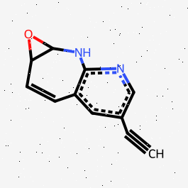 C#Cc1cnc2c(c1)C=CC1OC1N2